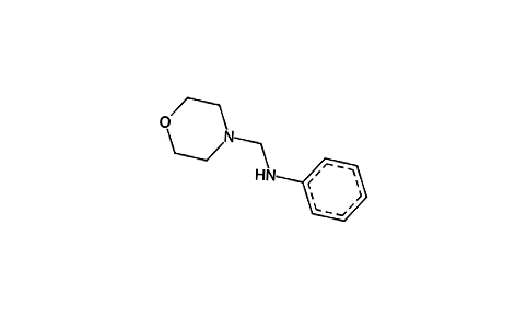 c1ccc(NCN2CCOCC2)cc1